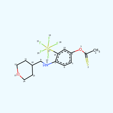 CC(=S)Oc1ccc(NCC2CCOCC2)c(S(F)(F)(F)(F)F)c1